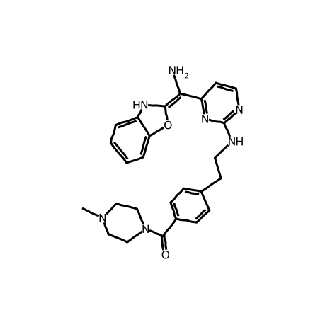 CN1CCN(C(=O)c2ccc(CCNc3nccc(/C(N)=C4/Nc5ccccc5O4)n3)cc2)CC1